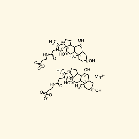 C[C@H](CCC(=O)NCCS(=O)(=O)[O-])[C@H]1CCC2C3C(C[C@H](O)[C@@]21C)[C@@]1(C)CC[C@@H](O)CC1C[C@H]3O.C[C@H](CCC(=O)NCCS(=O)(=O)[O-])[C@H]1CCC2C3C(C[C@H](O)[C@@]21C)[C@@]1(C)CC[C@@H](O)CC1C[C@H]3O.[Mg+2]